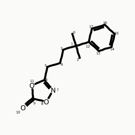 CC(C)(CCCc1noc(=O)o1)c1ccccc1